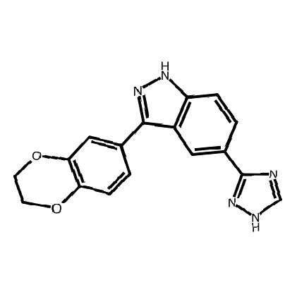 c1nc(-c2ccc3[nH]nc(-c4ccc5c(c4)OCCO5)c3c2)n[nH]1